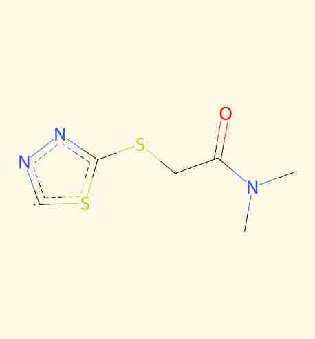 CN(C)C(=O)CSc1nn[c]s1